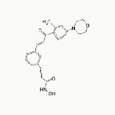 Cc1cc(N2CCOCC2)ccc1C(=O)C=Cc1cccc(C=CC(=O)NO)c1